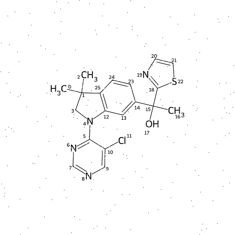 CC1(C)CN(c2ncncc2Cl)c2cc(C(C)(O)c3nccs3)ccc21